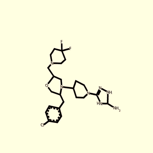 NC1NN=C(N2CCC(N3CC(CN4CCC(F)(F)CC4)OCC3Cc3ccc(Cl)cc3)CC2)N1